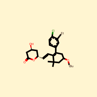 CCc1cc(C2=C(C=C[C@H]3C[C@H](O)CC(=O)O3)C(C)(C)CC(OC(C)(C)C)C2)ccc1Cl